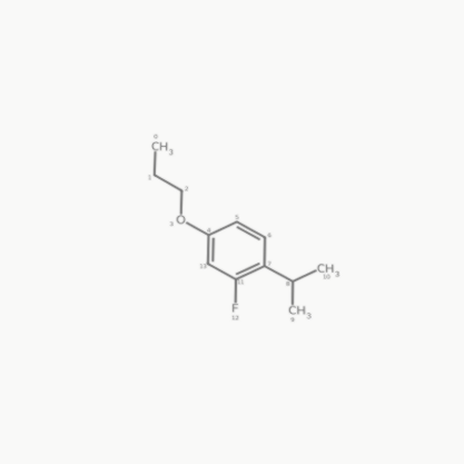 CCCOc1ccc(C(C)C)c(F)c1